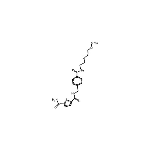 CCCCCCOCCOCCNC(=O)c1ccc(CNC(=O)c2ccc(C(N)=O)s2)cc1